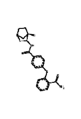 NC(=O)c1ccccc1Oc1ccc(C(=O)NC2CN3CC[C@H]2C3)cc1